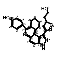 OCCC1C=C(c2n[nH]c3ccc4nc(-c5ccc(O)cc5)c5c(c4c23)CCCC5)N=N1